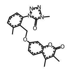 Cc1cccc(-n2nnn(C)c2=O)c1COc1ccc2c(C)c(C)c(=O)oc2c1